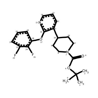 CC(C)(C)OC(=O)N1CCC(c2cccnc2Oc2cccc(F)c2F)CC1